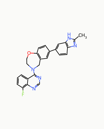 Cc1nc2ccc(-c3ccc4c(c3)CN(c3ncnc5c(F)cccc35)CCO4)cc2[nH]1